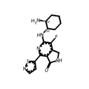 N[C@H]1CCCC[C@H]1Nc1nc(-c2ccns2)c2c(c1F)CNC2=O